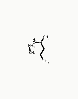 CCCN(C)C.CN